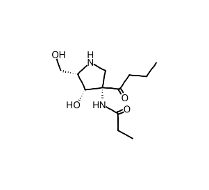 CCCC(=O)[C@]1(NC(=O)CC)CN[C@@H](CO)[C@H]1O